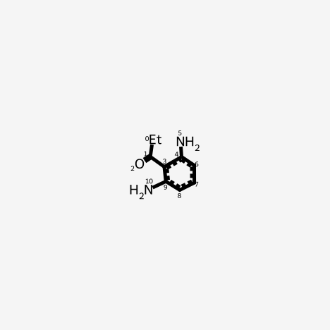 CCC(=O)c1c(N)cccc1N